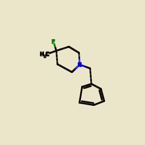 CC1(F)CCN(Cc2ccccc2)CC1